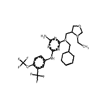 CCN1COCC1CN(CC1CCCCC1)c1nc(N)nc(Nc2ccc(OC(F)(F)F)c(C(F)(F)F)c2)n1